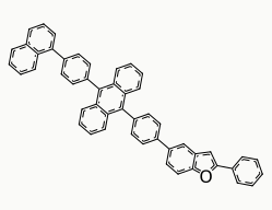 c1ccc(-c2cc3cc(-c4ccc(-c5c6ccccc6c(-c6ccc(-c7cccc8ccccc78)cc6)c6ccccc56)cc4)ccc3o2)cc1